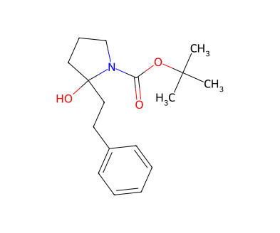 CC(C)(C)OC(=O)N1CCCC1(O)CCc1ccccc1